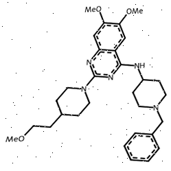 COCCC1CCN(c2nc(NC3CCN(Cc4ccccc4)CC3)c3cc(OC)c(OC)cc3n2)CC1